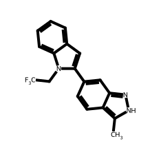 Cc1[nH]nc2cc(-c3cc4ccccc4n3CC(F)(F)F)ccc12